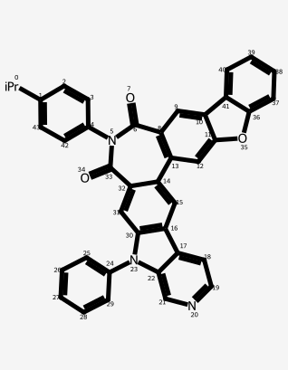 CC(C)c1ccc(-n2c(=O)c3cc4c(cc3c3cc5c6ccncc6n(-c6ccccc6)c5cc3c2=O)oc2ccccc24)cc1